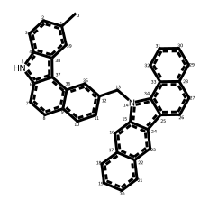 Cc1ccc2[nH]c3ccc4ccc(Cn5c6cc7ccccc7cc6c6ccc7ccccc7c65)cc4c3c2c1